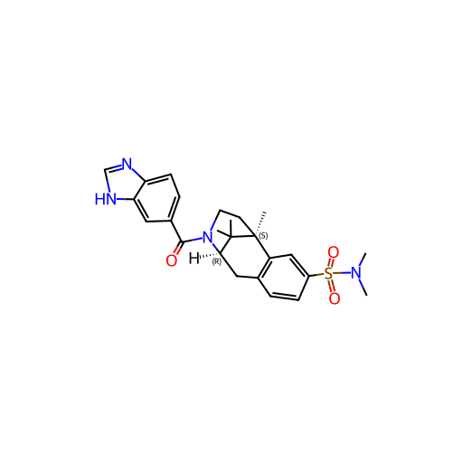 CN(C)S(=O)(=O)c1ccc2c(c1)[C@]1(C)CCN(C(=O)c3ccc4nc[nH]c4c3)[C@H](C2)C1(C)C